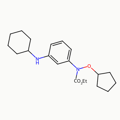 CCOC(=O)N(OC1CCCC1)c1cccc(NC2CCCCC2)c1